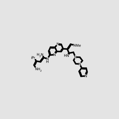 CN/C=C(\C(=N)CN1CCN(c2ccncc2)CC1)c1cnc2ccc(N/C(N)=C/C(=C\N)C(C)C)nc2c1